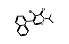 CC(C)n1ncc(-c2cccc3ccccc23)c(Br)c1=O